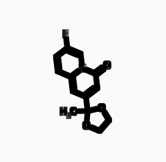 CC1(c2cc(=O)n3cc(F)ccc3c2)OCCO1